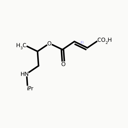 CC(C)NCC(C)OC(=O)/C=C/C(=O)O